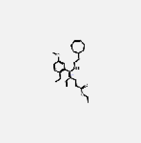 C=C/C(CCC(=O)OCC)=C(/NCCC1CCC=CCC1)c1cc(OC)ccc1CC